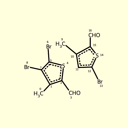 Cc1c(C=O)sc(Br)c1Br.Cc1cc(Br)sc1C=O